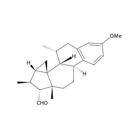 COc1ccc2c(c1)C[C@@H](C)[C@@H]1[C@@H]2CC[C@]2(C)[C@H](C=O)[C@@H](C)[C@@H]3C[C@]132